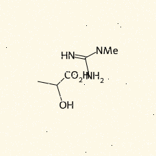 CC(O)C(=O)O.CNC(=N)N